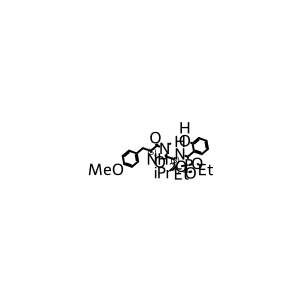 CCOP(=O)(OCC)C(N[C@@H](CC(C)C)C(=O)N(C)C(=O)[C@@H](N)Cc1ccc(OC)cc1)c1ccccc1O